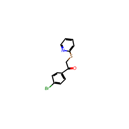 O=C(CSc1ccccn1)c1ccc(Br)cc1